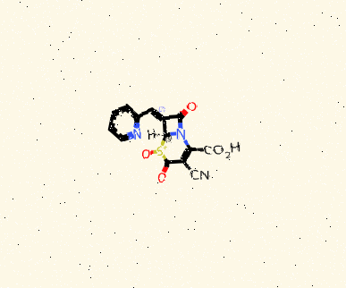 N#CC1=C(C(=O)O)N2C(=O)/C(=C/c3ccccn3)[C@@H]2[S+]([O-])C1=O